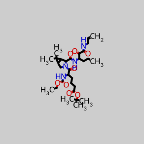 C=CCNC(=O)C(=O)C(CCC)NC(=O)C1C2C(CN1C(=O)C(CCCC(=O)OC(C)(C)C)NC(=O)OCC)C2(C)C